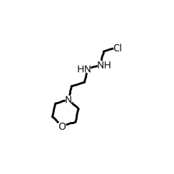 ClCNNCCN1CCOCC1